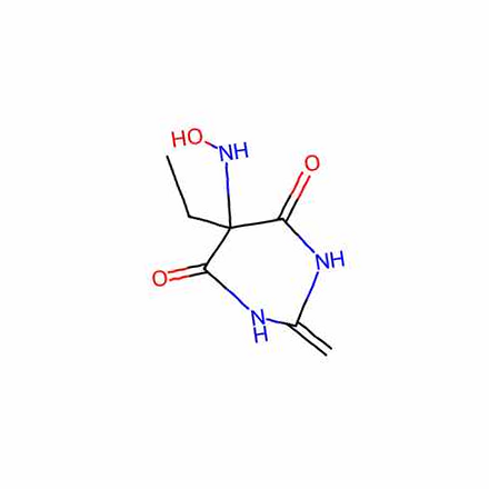 C=C1NC(=O)C(CC)(NO)C(=O)N1